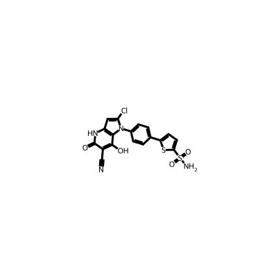 N#Cc1c(O)c2c(cc(Cl)n2-c2ccc(-c3ccc(S(N)(=O)=O)s3)cc2)[nH]c1=O